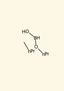 CCCC.CCCOBO